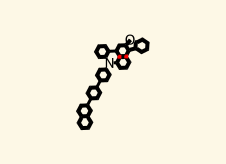 c1ccc(N(c2ccc(-c3ccc(-c4ccc5ccccc5c4)cc3)cc2)c2ccccc2-c2ccc3c(c2)oc2ccccc23)cc1